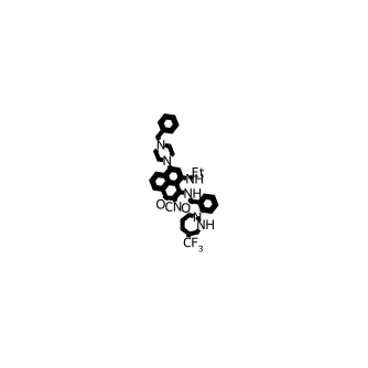 CCNc1cc(N2CCN(Cc3ccccc3)CC2)c2cccc3c2c1C(NC(=O)c1ccccc1N1CCCC(C(F)(F)F)CN1)=C(C#N)C3=O